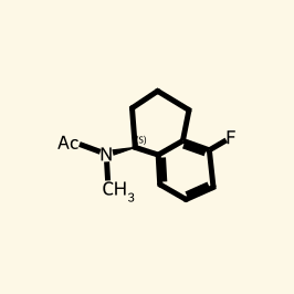 CC(=O)N(C)[C@H]1CCCc2c(F)cccc21